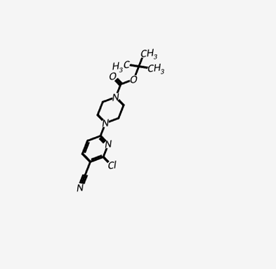 CC(C)(C)OC(=O)N1CCN(c2ccc(C#N)c(Cl)n2)CC1